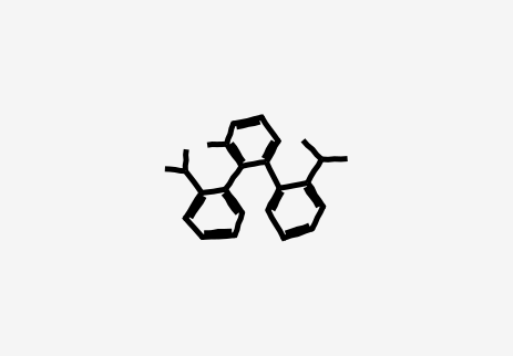 Cc1cccc(-c2ccccc2C(C)C)c1-c1ccccc1C(C)C